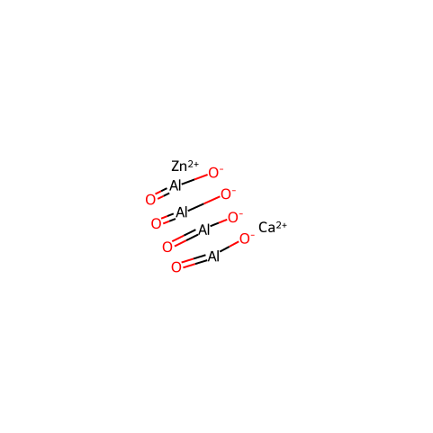 [Ca+2].[O]=[Al][O-].[O]=[Al][O-].[O]=[Al][O-].[O]=[Al][O-].[Zn+2]